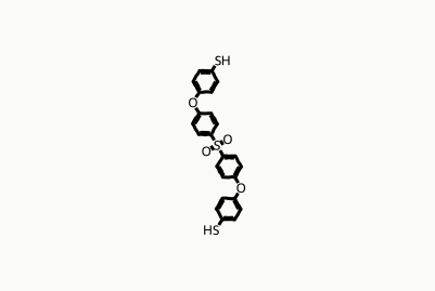 O=S(=O)(c1ccc(Oc2ccc(S)cc2)cc1)c1ccc(Oc2ccc(S)cc2)cc1